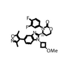 CO[C@H]1C[C@H](n2c([C@@H]3CCOC(=O)N3c3ccc(F)c(F)c3)nc3cc(-c4c(C)noc4C)ccc32)C1